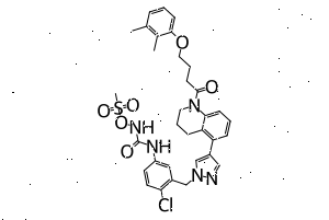 Cc1cccc(OCCCC(=O)N2CCCc3c(-c4cnn(Cc5cc(NC(=O)NOS(C)(=O)=O)ccc5Cl)c4)cccc32)c1C